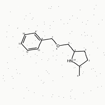 CC1CCC(COCc2ccccc2)N1